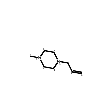 [CH]=CCN1CCN(C)CC1